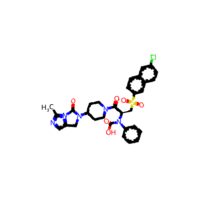 Cc1ncc2n1C(=O)N(C1CCN(C(=O)[C@@H](CS(=O)(=O)c3ccc4cc(Cl)ccc4c3)N(C(=O)O)c3ccccc3)CC1)C2